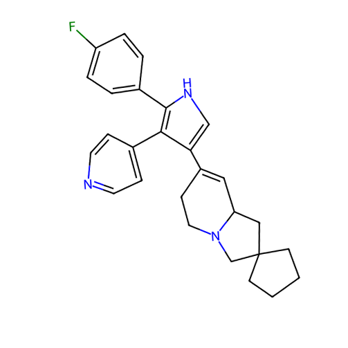 Fc1ccc(-c2[nH]cc(C3=CC4CC5(CCCC5)CN4CC3)c2-c2ccncc2)cc1